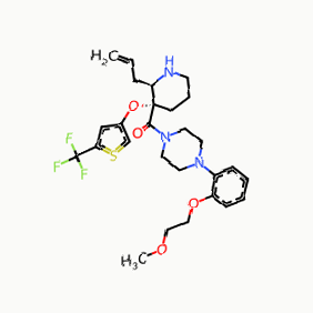 C=CC[C@H]1NCCC[C@@]1(Oc1csc(C(F)(F)F)c1)C(=O)N1CCN(c2ccccc2OCCOC)CC1